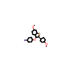 COc1ccc(-c2sc3cc(OC)ccc3c2Oc2ccc(I)cc2)cc1